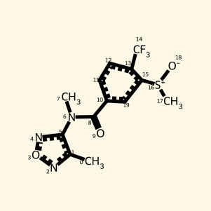 Cc1nonc1N(C)C(=O)c1ccc(C(F)(F)F)c([S+](C)[O-])c1